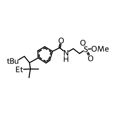 CCC(C)(C)C(CC(C)(C)C)c1ccc(C(=O)NCCS(=O)(=O)OC)cc1